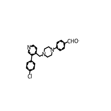 O=[C]c1ccc(N2CCN(Cc3ccncc3-c3ccc(Cl)cc3)CC2)cc1